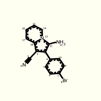 N#Cc1c(-c2ccc(Br)cc2)c(N)n2ccccc12